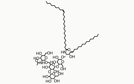 CCCCCCCC/C=C\CCCCCCCCCCCCCCCC(=O)N[C@@H](CO[C@@H]1OC(CO)[C@@H](O[C@@H]2OC(CO[C@@H]3OC(CO)[C@@H](O)[C@H](O)C3NC(C)=O)[C@H](O)[C@H](O[C@H]3OC(CO)[C@H](O)[C@H](O)C3O)C2O)[C@H](O)C1O)[C@H](O)/C=C/CCCCCCCCCCCCC